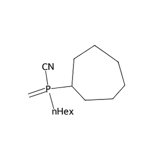 C=P(C#N)(CCCCCC)C1CCCCCC1